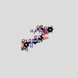 COc1cc(C(=O)Nc2ccn(C3O[C@H](COP(=O)(N[C@H](C)C(=O)OC(C)C)Oc4ccccc4)[C@@H](O)C3(F)F)c(=O)n2)cc(Cl)c1OC